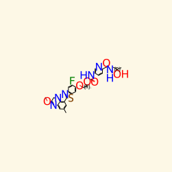 COc1cnc2c(-c3nc4cc(F)c(OC[C@@H](C)OC(=O)Nc5ccc(C(=O)NC[C@@H](C)O)nc5)cc4s3)cc(C)cc2n1